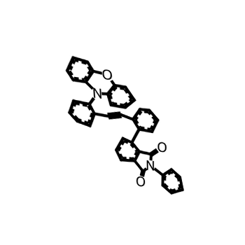 O=C1c2cccc(-c3ccccc3C#Cc3ccccc3N3c4ccccc4Oc4ccccc43)c2C(=O)N1c1ccccc1